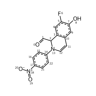 O=CC1c2cc(F)c(O)cc2C=CN1c1ccc([N+](=O)[O-])cc1